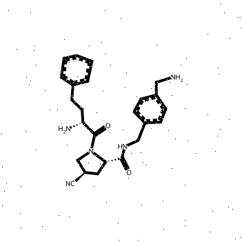 N#C[C@@H]1C[C@@H](C(=O)NCc2ccc(CN)cc2)N(C(=O)[C@H](N)CCc2ccccc2)C1